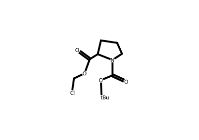 CC(C)(C)OC(=O)N1CCCC1C(=O)OCCl